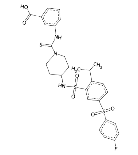 CC(C)c1ccc(S(=O)(=O)c2ccc(F)cc2)cc1S(=O)(=O)NC1CCN(C(=S)Nc2cccc(C(=O)O)c2)CC1